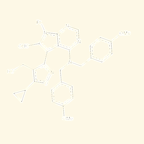 COc1ccc(CN(Cc2ccc(OC)cc2)c2ncnc3c2c(-c2noc(C4CC4)c2CO)c(C=O)n3C(C)C)cc1